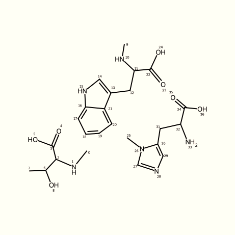 CNC(C(=O)O)C(C)O.CNC(Cc1c[nH]c2ccccc12)C(=O)O.Cn1cncc1CC(N)C(=O)O